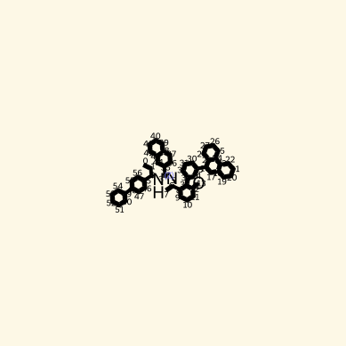 C=CC(N/C(=N\C(=C)c1cccc2oc3c(-c4cc5ccccc5c5ccccc45)cccc3c12)c1ccc2ccccc2c1)c1ccc(-c2ccccc2)cc1